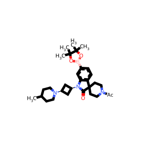 CC(=O)N1CCC2(CC1)C(=O)N([C@H]1C[C@@H](N3CCC(C)CC3)C1)c1cc(B3OC(C)(C)C(C)(C)O3)ccc12